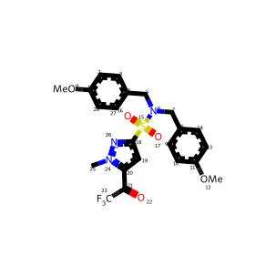 COc1ccc(CN(Cc2ccc(OC)cc2)S(=O)(=O)c2cc(C(=O)C(F)(F)F)n(C)n2)cc1